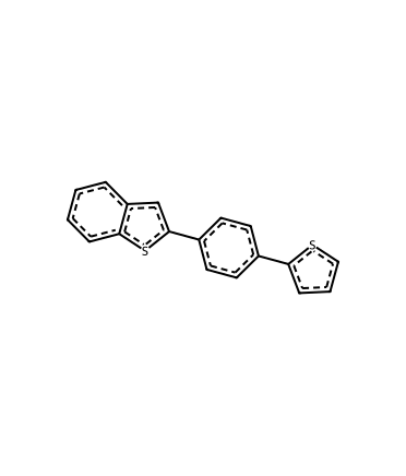 c1csc(-c2ccc(-c3cc4ccccc4s3)cc2)c1